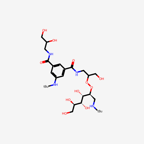 CC(C)(C)NC[C@H](OOC(CO)CNC(=O)c1cc(NC(C)(C)C)cc(C(=O)NCC(O)CO)c1)[C@@H](O)[C@H](O)[C@H](O)CO